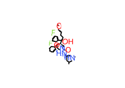 CNCC(CC(C)C)NC(=O)N1CCCC(C(O)(CCCCOC)c2cc(F)cc(F)c2Oc2ccccc2)C1